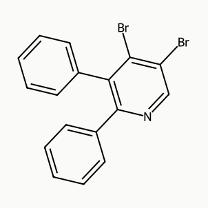 Brc1cnc(-c2ccccc2)c(-c2ccccc2)c1Br